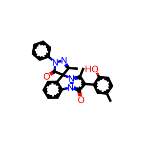 CC1=NN(c2ccccc2)C(=O)C12c1ccccc1-n1c(=O)c(-c3cc(C)ccc3O)c(C)n12